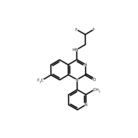 Cc1ncccc1-n1c(=O)nc(NCC(F)F)c2ccc(C(F)(F)F)cc21